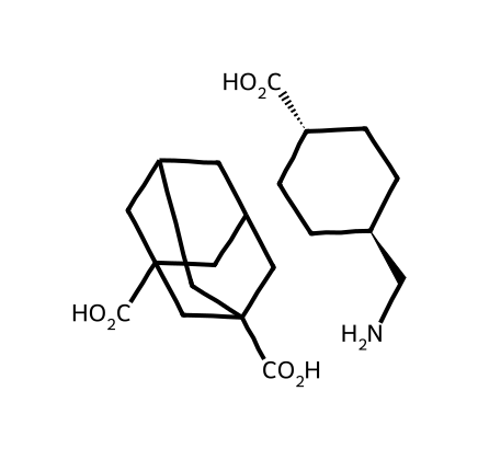 NC[C@H]1CC[C@H](C(=O)O)CC1.O=C(O)C12CC3CC(C1)CC(C(=O)O)(C3)C2